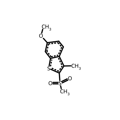 COc1ccc2c(C)c(S(C)(=O)=O)sc2c1